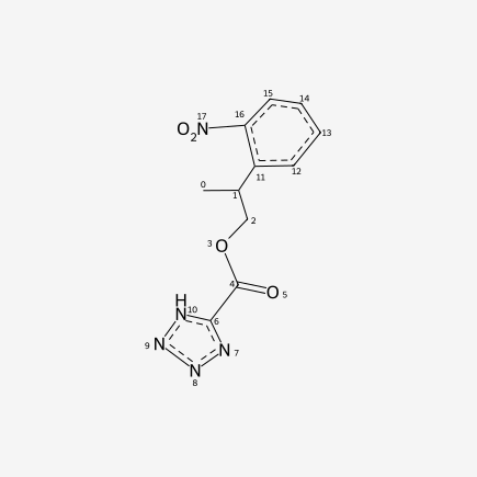 CC(COC(=O)c1nnn[nH]1)c1ccccc1[N+](=O)[O-]